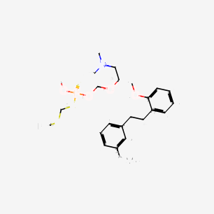 CCOP(=S)(OCO[C@@H](COc1ccccc1CCc1cccc(OC)c1)CN(C)C)SCSC(C)(C)C